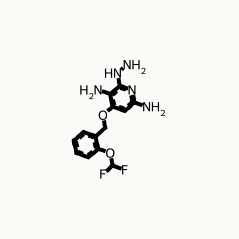 NNc1nc(N)cc(OCc2ccccc2OC(F)F)c1N